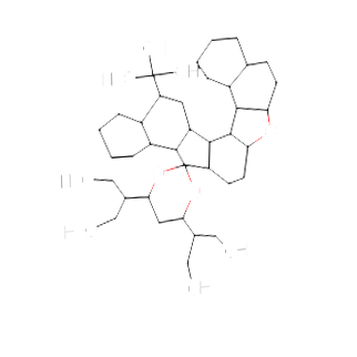 CCC(CC)C1CC(C(CC)CC)OC2(O1)C1CCC3OC4CCC5CCCCC5C4C3C1C1CC(C(C)(C)C)C3CCCCC3C12